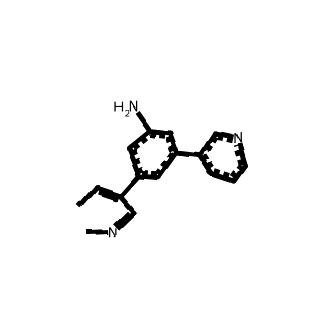 C/C=C(\C=N/C)c1cc(N)cc(-c2cccnc2)c1